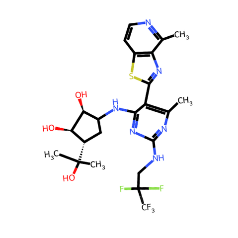 Cc1nc(NCC(F)(F)C(F)(F)F)nc(NC2C[C@H](C(C)(C)O)[C@@H](O)[C@H]2O)c1-c1nc2c(C)nccc2s1